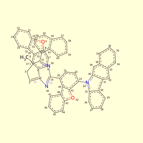 CC1C/C=C(c2ccc3oc4ccccc4c3c2)/N=C(c2ccc(-n3c4ccccc4c4cc5ccccc5cc43)c3oc4ccccc4c23)\N=C/1c1cccc2ccccc12